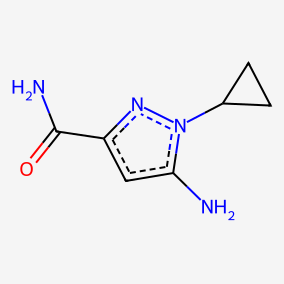 NC(=O)c1cc(N)n(C2CC2)n1